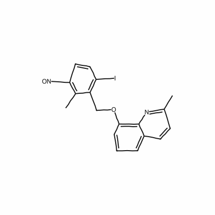 Cc1ccc2cccc(OCc3c(I)ccc(N=O)c3C)c2n1